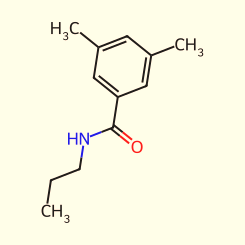 CCCNC(=O)c1cc(C)cc(C)c1